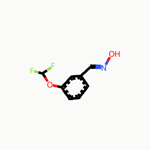 O/N=C/c1cccc(OC(F)F)c1